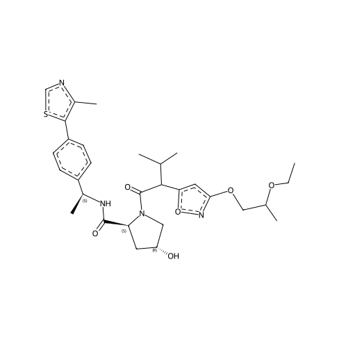 CCOC(C)COc1cc(C(C(=O)N2C[C@H](O)C[C@H]2C(=O)N[C@@H](C)c2ccc(-c3scnc3C)cc2)C(C)C)on1